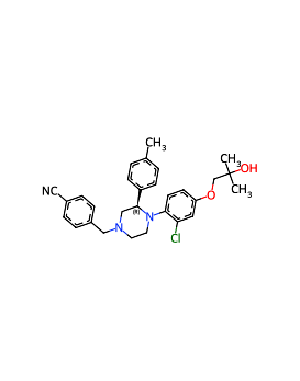 Cc1ccc([C@@H]2CN(Cc3ccc(C#N)cc3)CCN2c2ccc(OCC(C)(C)O)cc2Cl)cc1